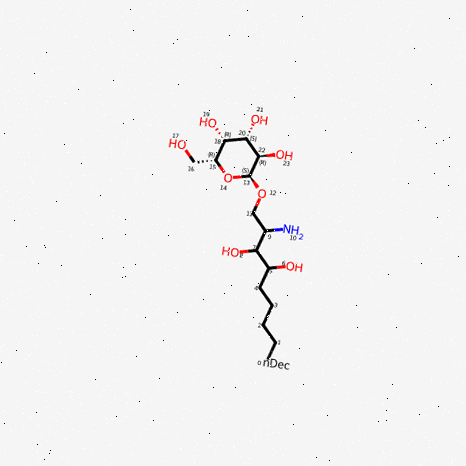 CCCCCCCCCCCCCCC(O)C(O)C(N)CO[C@H]1O[C@H](CO)[C@H](O)[C@H](O)[C@H]1O